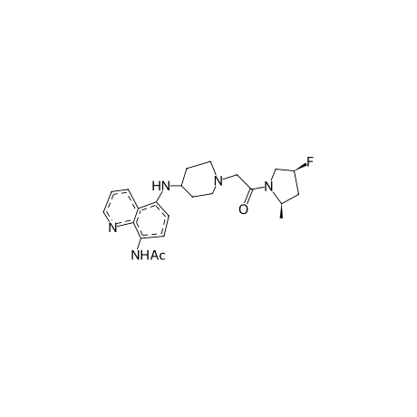 CC(=O)Nc1ccc(NC2CCN(CC(=O)N3C[C@@H](F)C[C@H]3C)CC2)c2cccnc12